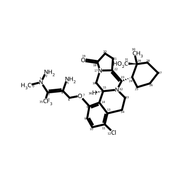 CN(N)/C(=C(\N)COc1ccc(Cl)c2c1[C@H]1CN3C(=O)CCC3=C([C@H]3CCCC[C@]3(C)C(=O)O)N1CC2)C(F)(F)F